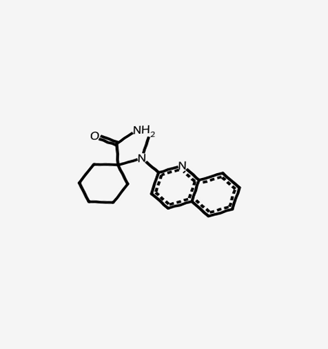 CN(c1ccc2ccccc2n1)C1(C(N)=O)CCCCC1